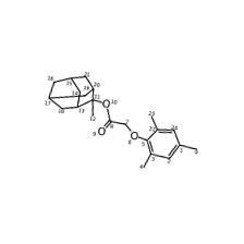 Cc1cc(C)c(OCC(=O)OC2(C)C3CC4CC(C3)CC2C4)c(C)c1